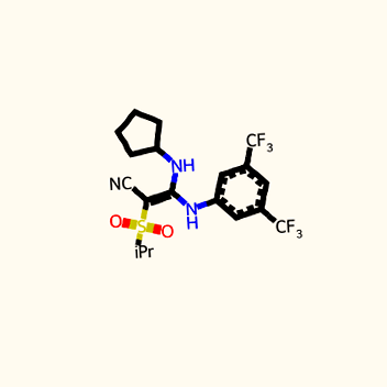 CC(C)S(=O)(=O)C(C#N)=C(Nc1cc(C(F)(F)F)cc(C(F)(F)F)c1)NC1CCCC1